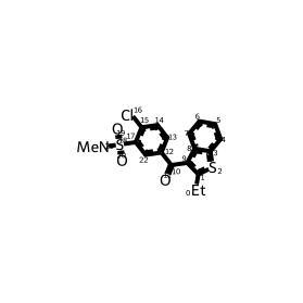 CCc1sc2ccccc2c1C(=O)c1ccc(Cl)c(S(=O)(=O)NC)c1